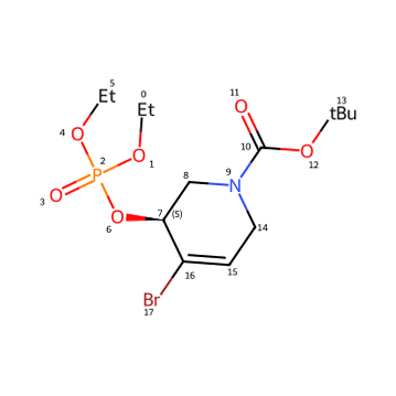 CCOP(=O)(OCC)O[C@H]1CN(C(=O)OC(C)(C)C)CC=C1Br